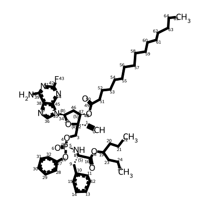 C#C[C@]1(CO[P@@](=O)(N[C@@H](Cc2ccccc2)C(=O)OC(CCC)CCC)Oc2ccccc2)O[C@@H](n2cnc3c(N)nc(F)nc32)C[C@@H]1OC(=O)CCCCCCCCCCCCCCC